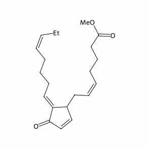 CC/C=C\CCC/C=C1/C(=O)C=CC1C/C=C\CCCC(=O)OC